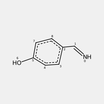 N=Cc1ccc(O)cc1